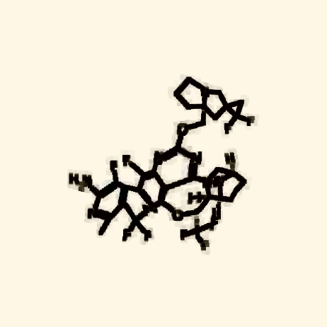 Cc1nc(N)c(F)c(-c2nc3c4c(nc(OC[C@@]56CCCN5CC5(CC5(F)F)C6)nc4c2F)N2C[C@H]4CC[C@H](N4)[C@H]2[C@H](C(F)(F)F)O3)c1C(F)(F)F